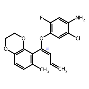 C=C/C=C(/Oc1cc(Cl)c(N)cc1F)c1c(C)ccc2c1OCCO2